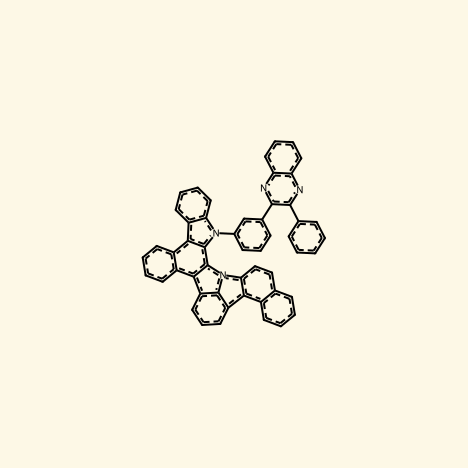 c1ccc(-c2nc3ccccc3nc2-c2cccc(-n3c4ccccc4c4c5ccccc5c5c6cccc7c8c9ccccc9ccc8n(c76)c5c43)c2)cc1